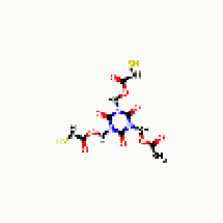 BC(=O)OBn1c(=O)n(BOC(=O)BS)c(=O)n(BOC(=O)BS)c1=O